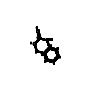 O=C1OCc2ccccc2S1